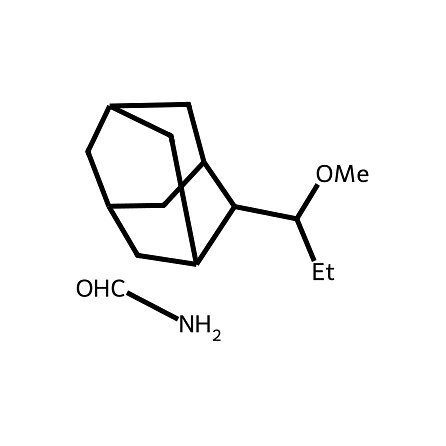 CCC(OC)C1C2CC3CC(C2)CC1C3.NC=O